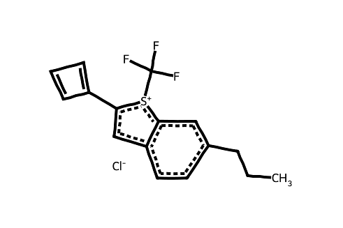 CCCc1ccc2cc(C3=CC=C3)[s+](C(F)(F)F)c2c1.[Cl-]